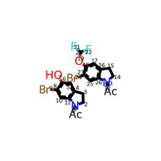 CC(=O)N1CCc2cc(O)c(Br)cc21.CC(=O)N1CCc2cc(OC(F)F)c(Br)cc21